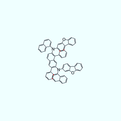 c1ccc(-c2cc3ccc(N(c4ccc5c(c4)oc4ccccc45)c4cccc5ccccc45)c(-c4ccccc4)c3cc2N(c2ccc3c(c2)oc2ccccc23)c2cccc3ccccc23)cc1